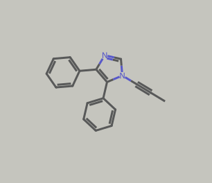 CC#Cn1cnc(-c2ccccc2)c1-c1ccccc1